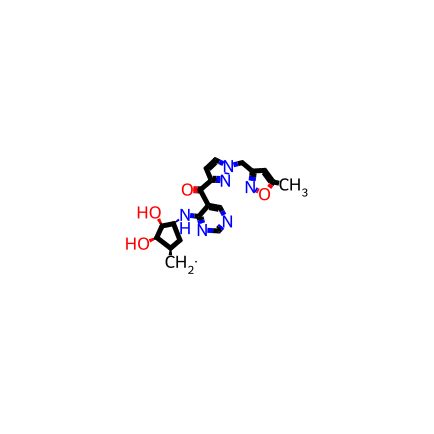 [CH2][C@@H]1C[C@@H](Nc2ncncc2C(=O)c2ccn(Cc3cc(C)on3)n2)[C@H](O)[C@@H]1O